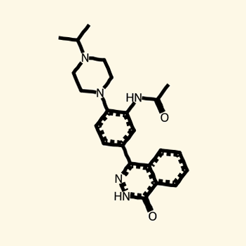 CC(=O)Nc1cc(-c2n[nH]c(=O)c3ccccc23)ccc1N1CCN(C(C)C)CC1